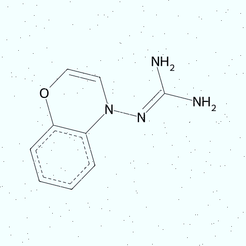 NC(N)=NN1C=COc2ccccc21